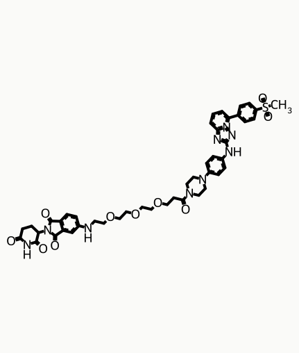 CS(=O)(=O)c1ccc(-c2cccc3nc(Nc4ccc(N5CCN(C(=O)CCOCCOCCOCCNc6ccc7c(c6)C(=O)N(C6CCC(=O)NC6=O)C7=O)CC5)cc4)nn23)cc1